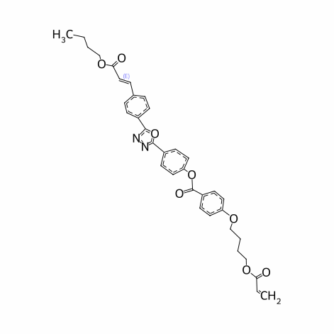 C=CC(=O)OCCCCOc1ccc(C(=O)Oc2ccc(-c3nnc(-c4ccc(/C=C/C(=O)OCCCC)cc4)o3)cc2)cc1